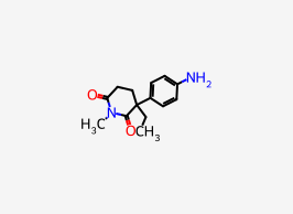 CCC1(c2ccc(N)cc2)CCC(=O)N(C)C1=O